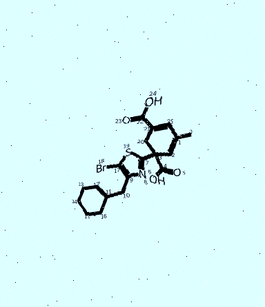 CC1=CC(C(=O)O)(c2nc(CC3CCCCC3)c(Br)s2)CC(C(=O)O)=C1